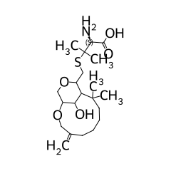 C=C1CCCCC(C)(C)C2C(CSC(C)(C)[C@@H](N)C(=O)O)OCC(OC1)C2O